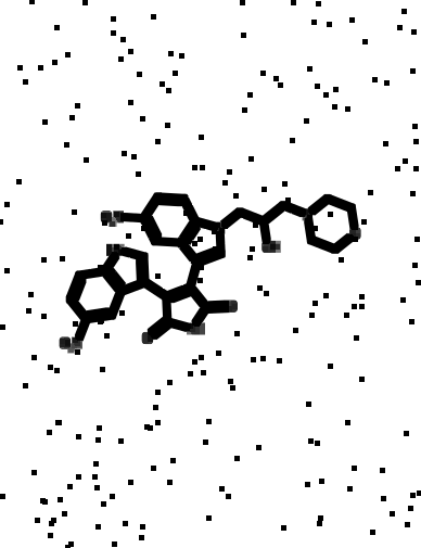 O=C1NC(=O)C(c2cn(CC(O)CN3CCOCC3)c3ccc([N+](=O)[O-])cc23)=C1c1c[nH]c2ccc([N+](=O)[O-])cc12